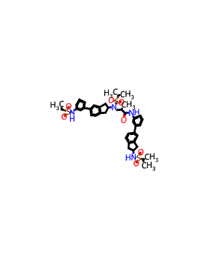 CCS(=O)(=O)Nc1cccc(-c2ccc3c(c2)CC(N(CC(C)C(=O)Nc2cccc(-c4ccc5c(c4)CC(NS(=O)(=O)C(C)C)C5)c2)S(=O)(=O)C(C)C)C3)c1